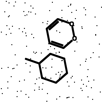 C1=COOC=C1.CC1CCCCC1